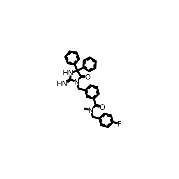 CN(Cc1ccc(F)cc1)C(=O)c1cccc(CN2C(=N)NC(c3ccccc3)(c3ccccc3)C2=O)c1